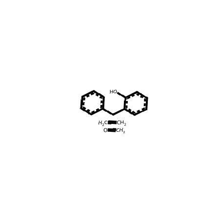 C=C.C=O.Oc1ccccc1Cc1ccccc1